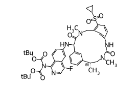 C[C@H]1CN(C)C(=O)Nc2ccc(S(=O)(=O)C3CC3)c(c2)CN(C)C(=O)C(Nc2ccc3c(N(C(=O)OC(C)(C)C)C(=O)OC(C)(C)C)ncc(F)c3c2)c2cccc1c2